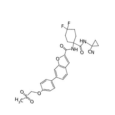 CS(=O)(=O)COc1ccc(-c2ccc3cc(C(=O)NC4(C(=O)NC5(C#N)CC5)CCC(F)(F)CC4)oc3c2)cc1